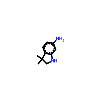 CC1(C)CNc2cc(N)ccc21